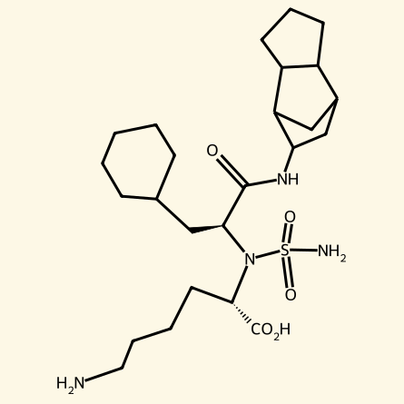 NCCCC[C@@H](C(=O)O)N([C@@H](CC1CCCCC1)C(=O)NC1CC2CC1C1CCCC21)S(N)(=O)=O